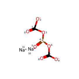 O=C([O-])OS(=O)OC(=O)[O-].[Na+].[Na+]